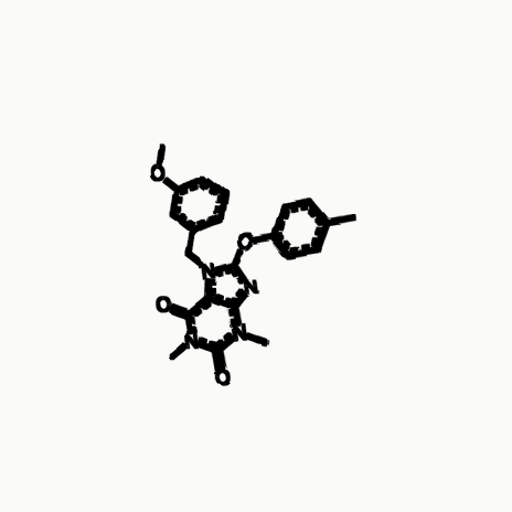 COc1cccc(Cn2c(Oc3ccc(C)cc3)nc3c2c(=O)n(C)c(=O)n3C)c1